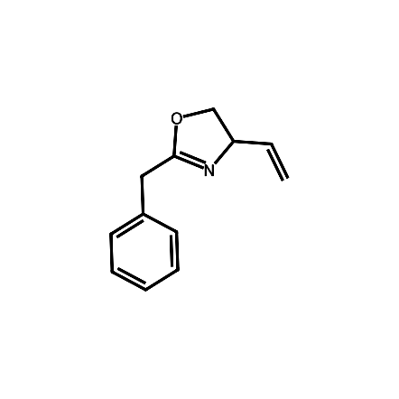 C=CC1COC(Cc2ccccc2)=N1